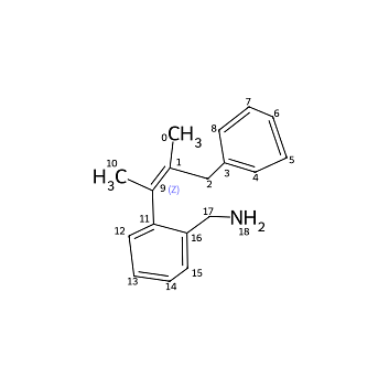 C/C(Cc1ccccc1)=C(\C)c1ccccc1CN